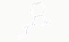 O=CNN1CNc2ccccc21